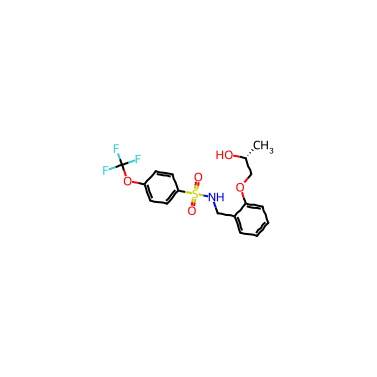 C[C@@H](O)COc1ccccc1CNS(=O)(=O)c1ccc(OC(F)(F)F)cc1